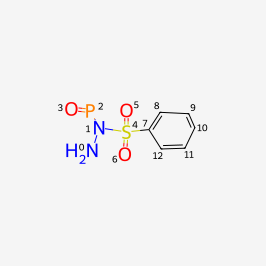 NN(P=O)S(=O)(=O)c1ccccc1